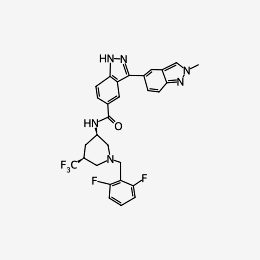 Cn1cc2cc(-c3n[nH]c4ccc(C(=O)N[C@@H]5C[C@H](C(F)(F)F)CN(Cc6c(F)cccc6F)C5)cc34)ccc2n1